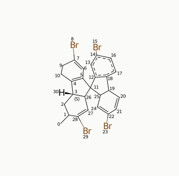 CC1C[C@@H]2C3=C(C=C(Br)CC3)C3(c4cc(Br)ccc4C4C=CC(Br)=CC43)C2C=C1Br